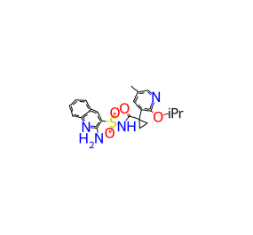 Cc1cnc(OC(C)C)c(C2(C(=O)NS(=O)(=O)c3cc4ccccc4nc3N)CC2)c1